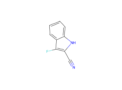 N#Cc1[nH]c2ccccc2c1F